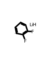 Fc1[c]cccc1F.[LiH]